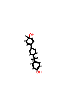 CC1(O)C=CC(C2CCC(C(C)(C)c3ccc(O)cc3)CC2)=CC1